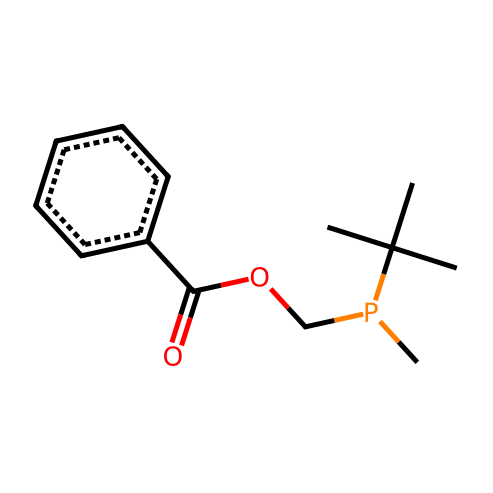 CP(COC(=O)c1ccccc1)C(C)(C)C